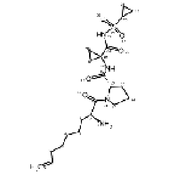 C=CCCCCC[C@H](N)C(=O)N1CCC[C@H]1C(=O)NC1(C(=O)NS(=O)(=O)C2CC2)CC1